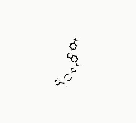 O=C(c1ccc2c(ccn2-c2ccc(C(F)(F)F)cc2)c1)N1CC(N2CCN(C(=O)c3cscn3)CC2)C1